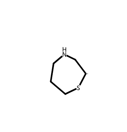 [CH]1CNCCCS1